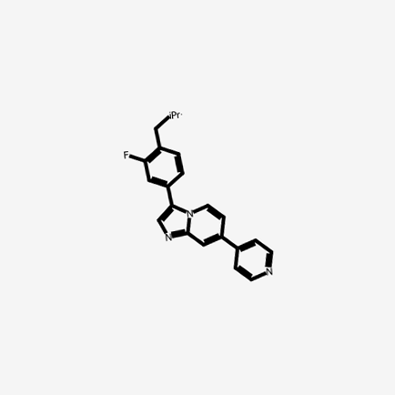 C[C](C)Cc1ccc(-c2cnc3cc(-c4ccncc4)ccn23)cc1F